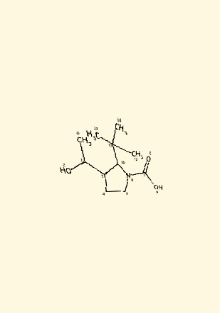 CC(O)C1CCN(C(=O)O)C1C(C)(C)C